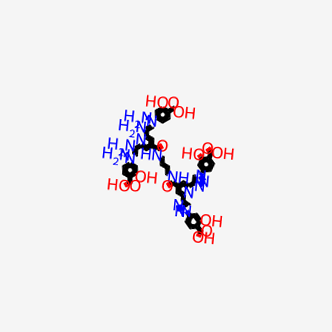 N/C(=C\N(N)c1ccc(C(=O)O)c(O)c1)c1cc(C(=O)NCCCCNC(=O)c2cc(-c3cn(C4=CCC(C(=O)O)C(O)=C4)nn3)nc(-c3cn(-c4ccc(C(=O)O)c(O)c4)nn3)c2)cc(/C(N)=C/N(N)c2ccc(C(=O)O)c(O)c2)n1